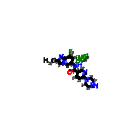 Cc1cn2cc(NC(=O)c3ccc(N4CCNCC4)nc3)cc(F)c2n1.Cl.Cl